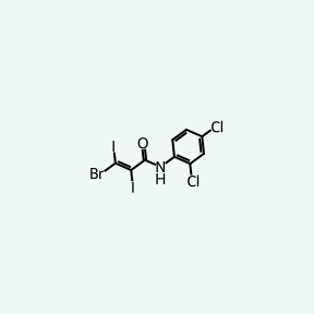 O=C(Nc1ccc(Cl)cc1Cl)C(I)=C(Br)I